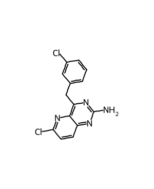 Nc1nc(Cc2cccc(Cl)c2)c2nc(Cl)ccc2n1